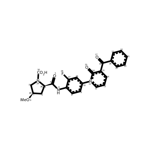 CO[C@@H]1C[C@H](C(=O)Nc2ccc(-n3cccc(C(=O)c4ccccc4)c3=O)cc2F)N(C(=O)O)C1